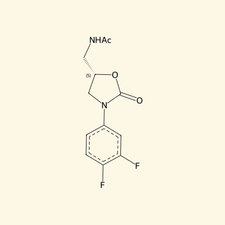 CC(=O)NC[C@H]1CN(c2ccc(F)c(F)c2)C(=O)O1